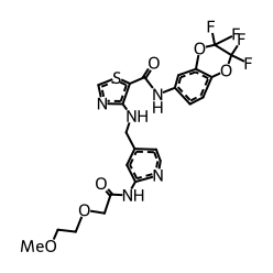 COCCOCC(=O)Nc1cc(CNc2ncsc2C(=O)Nc2ccc3c(c2)OC(F)(F)C(F)(F)O3)ccn1